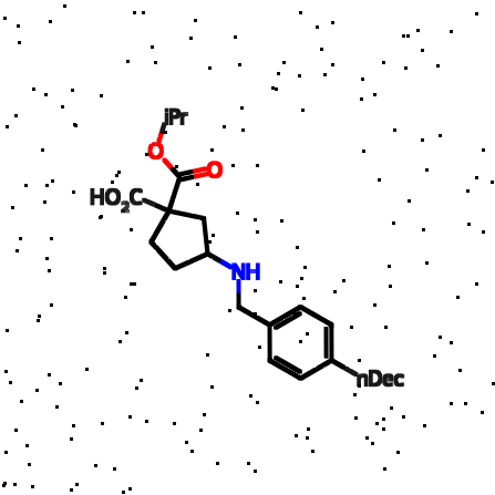 CCCCCCCCCCc1ccc(CNC2CCC(C(=O)O)(C(=O)OC(C)C)C2)cc1